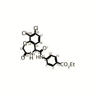 CCOC(=O)c1ccc(NC(=O)C2NC(=O)COc3c2ccc(Cl)c3Cl)cc1